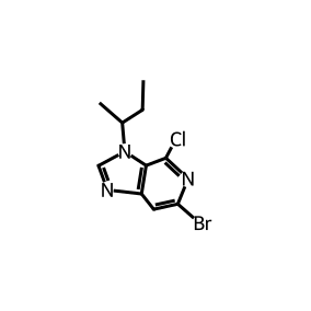 CCC(C)n1cnc2cc(Br)nc(Cl)c21